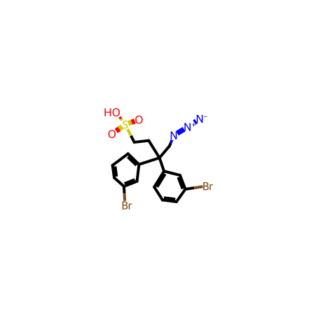 [N-]=[N+]=NCC(CCS(=O)(=O)O)(c1cccc(Br)c1)c1cccc(Br)c1